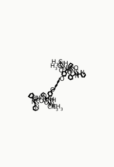 CN[C@@H](C)C(=O)N[C@H](C(=O)N1CCC[C@H]1C(=O)Nc1sc(-c2ccccn2)nc1-c1ccccc1)c1ccc(OCC#CC#CCOc2ccc([C@H](NC(=O)[C@H](C)NC)C(=O)N3CCC[C@H]3C(=O)Nc3sc(-c4ccccn4)nc3-c3ccccc3)cc2)cc1